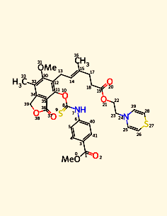 COC(=O)c1ccc(NC(=S)Oc2c(C/C=C(\C)CCC(=O)OCCN3C=CSC=C3)c(OC)c(C)c3c2C(=O)OC3)cc1